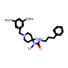 CCN(C(=O)NCCCc1ccccc1)C1(C=O)CCN(Cc2cc(OC)cc(OC)c2)CC1